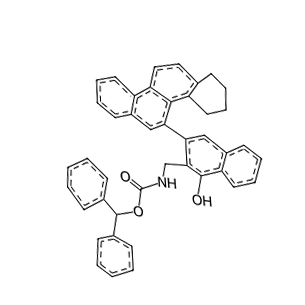 O=C(NCc1c(-c2cc3ccccc3c3ccc4c(c23)CCCC4)cc2ccccc2c1O)OC(c1ccccc1)c1ccccc1